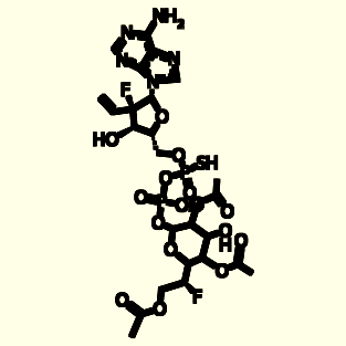 C=C[C@@]1(F)[C@H](O)[C@@H](COP(=O)(S)OP(=O)(O)OC2OC([C@@H](F)COC(C)=O)C(OC(C)=O)C(O)C2OC(C)=O)O[C@H]1n1cnc2c(N)ncnc21